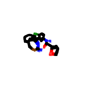 NC1=NC2(c3cc(NC(=O)c4ccco4)ccc3F)CCCCC2CS1